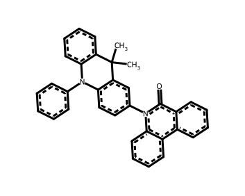 CC1(C)c2ccccc2N(c2ccccc2)c2ccc(-n3c(=O)c4ccccc4c4ccccc43)cc21